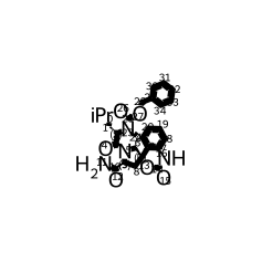 CC(C)C[C@@H](C(=O)N1C[C@]2(C[C@H]1C(N)=O)OC(=O)Nc1ccccc12)N(C)C(=O)OCc1ccccc1